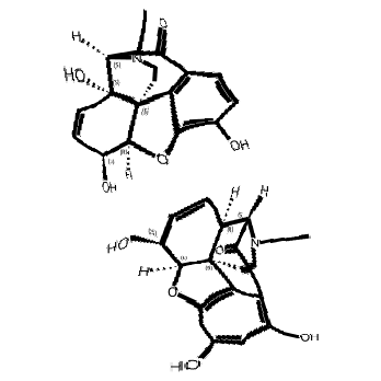 CN1CC[C@@]23c4c5c(O)cc(O)c4C(=O)[C@@H]1[C@@H]2C=C[C@H](O)[C@@H]3O5.CN1CC[C@]23c4c5ccc(O)c4O[C@H]2[C@@H](O)C=C[C@@]3(O)[C@H]1C5=O